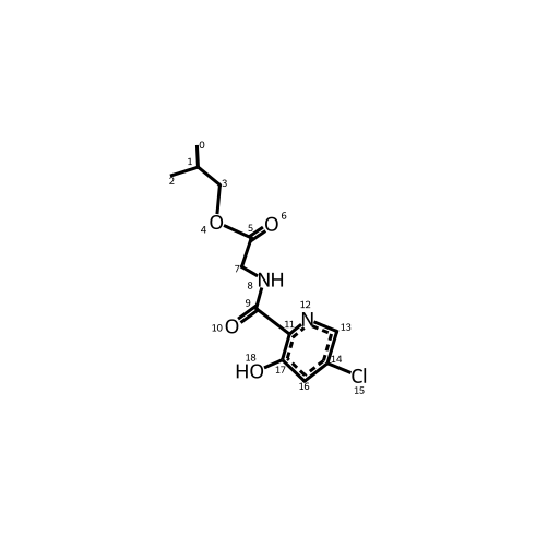 CC(C)COC(=O)CNC(=O)c1ncc(Cl)cc1O